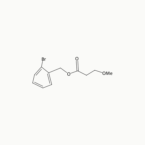 COCCC(=O)OCc1ccccc1Br